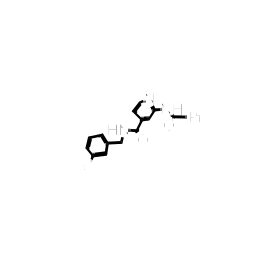 CC(C)C(=O)Nc1cc(C(=O)NCc2cccc(C(F)(F)F)c2)ccn1